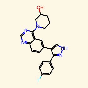 OC1CCCN(c2ncnc3ccc(-c4c[nH]nc4-c4ccc(F)cc4)cc23)C1